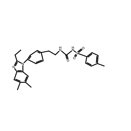 CCc1nc2cc(C)c(C)cc2n1-c1ccc(CCNC(=O)NS(=O)(=O)c2ccc(C)cc2)cc1